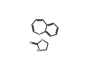 C1=CSc2ccccc2C=C1.O=C1NCCO1